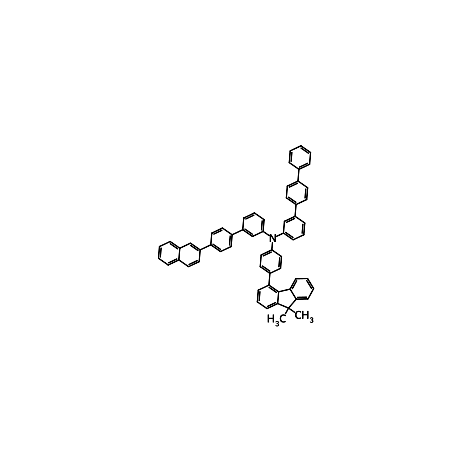 CC1(C)c2ccccc2-c2c(-c3ccc(N(c4cccc(-c5ccc(-c6ccccc6)cc5)c4)c4cccc(-c5ccc(-c6ccc7ccccc7c6)cc5)c4)cc3)cccc21